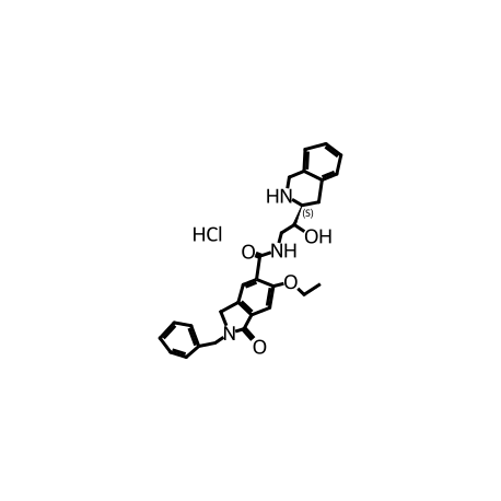 CCOc1cc2c(cc1C(=O)NCC(O)[C@@H]1Cc3ccccc3CN1)CN(Cc1ccccc1)C2=O.Cl